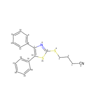 N#CCCCSc1nc(-c2ccccc2)c(-c2ccccc2)s1